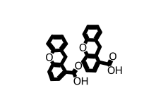 O=C(O)c1cccc2c1Cc1ccccc1O2.O=C(O)c1cccc2c1Cc1ccccc1O2